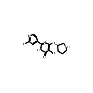 O=c1[nH]c(-c2ccnc(F)c2)nc(O[C@H]2CCCNC2)c1Cl